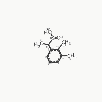 Cc1cccc(C(C)S(=O)O)c1C